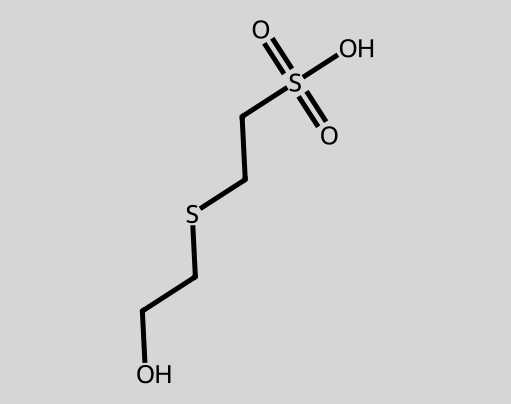 O=S(=O)(O)CCSCCO